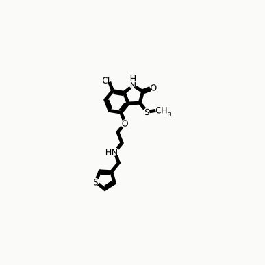 CSC1C(=O)Nc2c(Cl)ccc(OCCNCc3ccsc3)c21